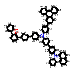 C=C(/C=C\C(=C/C)c1cccc2c1oc1ccccc12)c1ccc(N(c2ccc(-c3ccc(N(c4ccccc4)c4cccc5ccccc45)cc3)cc2)c2ccc(-c3ccc4c5ccccc5c5ccccc5c4c3)cc2)cc1